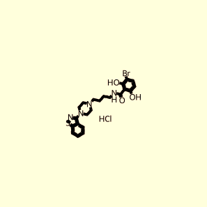 Cl.O=C(NCCCCN1CCN(c2nsc3ccccc23)CC1)c1c(O)ccc(Br)c1O